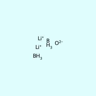 B.B.[Li+].[Li+].[O-2]